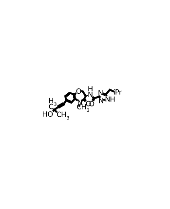 CC(C)Cc1nc(C(=O)N[C@H]2COc3ccc(C#CC(C)(C)O)cc3N(C)C2=O)n[nH]1